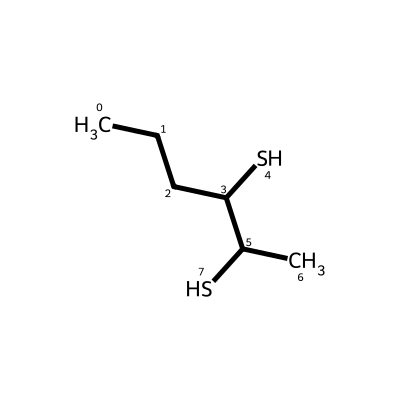 CCCC(S)C(C)S